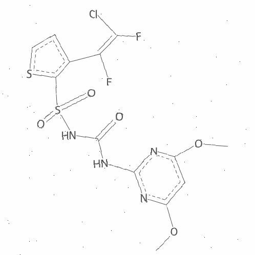 COc1cc(OC)nc(NC(=O)NS(=O)(=O)c2sccc2C(F)=C(F)Cl)n1